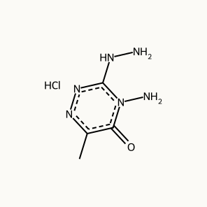 Cc1nnc(NN)n(N)c1=O.Cl